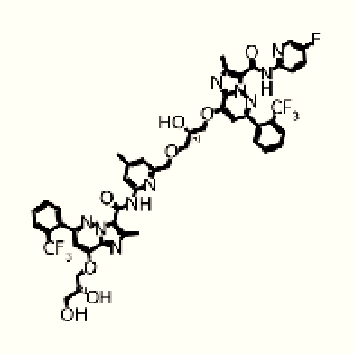 Cc1cc(COC[C@@H](O)COc2cc(-c3ccccc3C(F)(F)F)nn3c(C(=O)Nc4ccc(F)cn4)c(C)nc23)nc(NC(=O)c2c(C)nc3c(OC[C@H](O)CO)cc(-c4ccccc4C(F)(F)F)nn23)c1